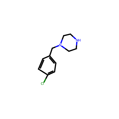 Clc1ccc(CN2C[CH]NCC2)cc1